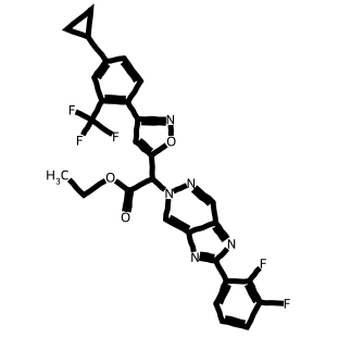 CCOC(=O)C(c1cc(-c2ccc(C3CC3)cc2C(F)(F)F)no1)n1cc2nc(-c3cccc(F)c3F)nc-2cn1